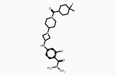 CN(C)C(=O)c1ccc(NC2CN(C3CCN(C(=O)C4CCC(F)(F)CC4)CC3)C2)cc1Cl